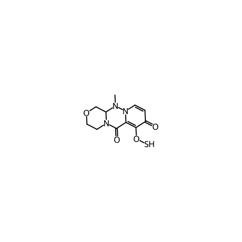 CN1C2COCCN2C(=O)c2c(OS)c(=O)ccn21